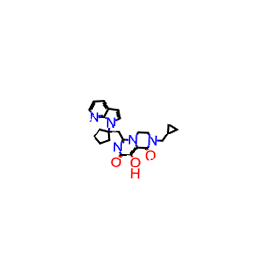 O=C1c2c(O)c(=O)nc(CC3(n4ccc5cccnc54)CCCC3)n2CCN1CC1CC1